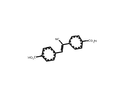 N#C/C(=C\c1ccc(C(=O)O)cc1)c1ccc(C(=O)O)cc1